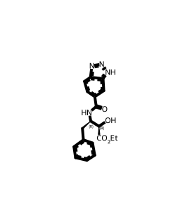 CCOC(=O)[C@H](O)[C@@H](Cc1ccccc1)NC(=O)c1ccc2nn[nH]c2c1